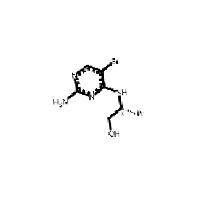 CC(C)[C@H](CO)Nc1nc(N)ncc1Br